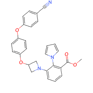 COC(=O)c1cccc(N2CC(Oc3ccc(Oc4ccc(C#N)cc4)cc3)C2)c1-n1cccc1